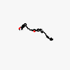 O=C(/C=C/c1ccc(F)nc1)NCCCCC1CCN(C(=O)c2ccc(N3CCN(CCCCCC#Cc4cccc5c4CN(C4CCC(=O)NC4=O)C5=O)CC3)cc2)C1